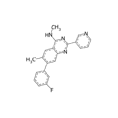 CNc1nc(-c2cccnc2)nc2cc(-c3cccc(F)c3)c(C)cc12